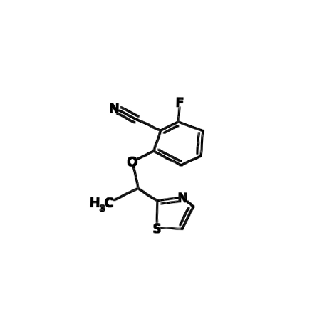 CC(Oc1cccc(F)c1C#N)c1nccs1